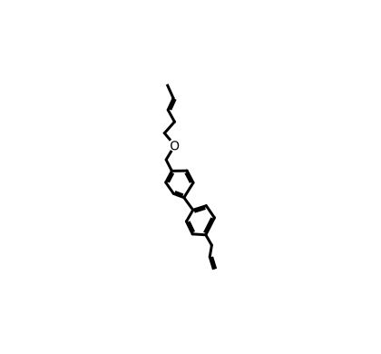 C=CCc1ccc(-c2ccc(COCC/C=C/C)cc2)cc1